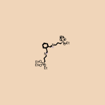 CCO[Si](CCC/N=C/c1ccccc1/C=N/CCC[Si](OCC)(OCC)OCC)(OCC)OCC